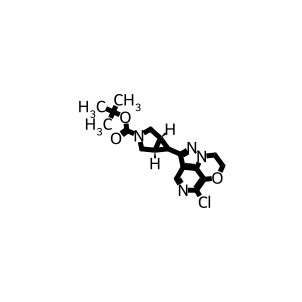 CC(C)(C)OC(=O)N1C[C@@H]2C(c3nn4c5c(c(Cl)ncc35)OCC4)[C@@H]2C1